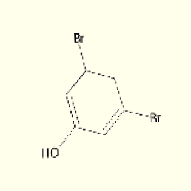 OC1=CC(Br)CC(Br)=C1